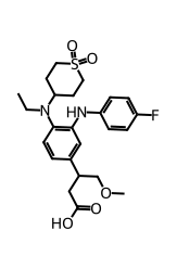 CCN(c1ccc(C(COC)CC(=O)O)cc1Nc1ccc(F)cc1)C1CCS(=O)(=O)CC1